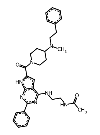 CC(=O)NCCNc1nc(-c2ccccc2)nc2[nH]c(C(=O)N3CCC(N(C)CCc4ccccc4)CC3)cc12